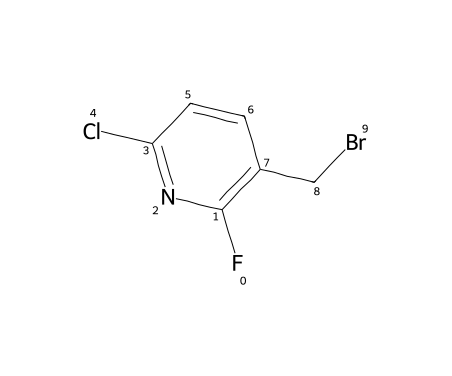 Fc1nc(Cl)ccc1CBr